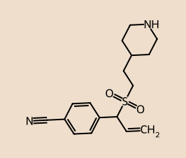 C=CC(c1ccc(C#N)cc1)S(=O)(=O)CCC1CCNCC1